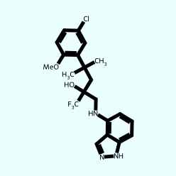 COc1ccc(Cl)cc1C(C)(C)CC(O)(CNc1cccc2[nH]ncc12)C(F)(F)F